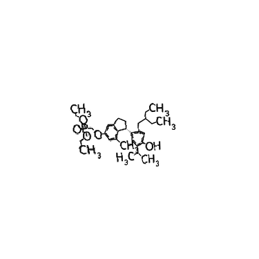 CCOP(=O)(COc1cc(C)c2c(c1)CC[C@@H]2c1cc(C(C)C)c(O)cc1CC(CC)CC)OCC